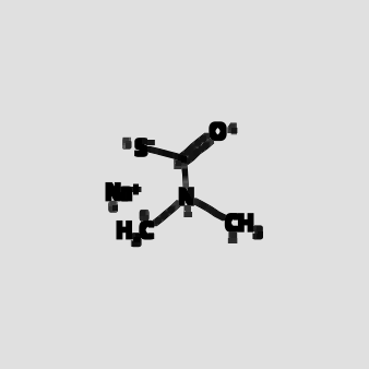 CN(C)C(=O)[S-].[Na+]